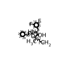 C=CCN(C)C[C@@H](O)[C@H](Cc1cc(F)cc(F)c1)NC(=O)OCc1ccccc1